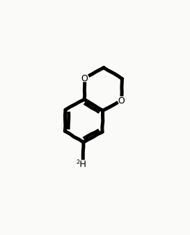 [2H]c1ccc2c(c1)OCCO2